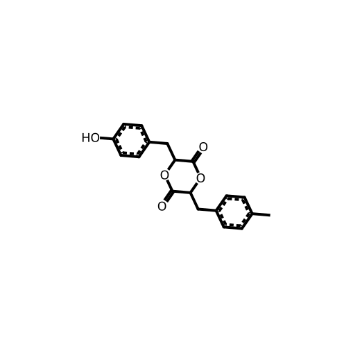 Cc1ccc(CC2OC(=O)C(Cc3ccc(O)cc3)OC2=O)cc1